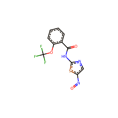 O=Nc1cnc(NC(=O)c2ccccc2OC(F)(F)F)s1